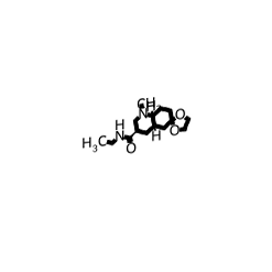 CCNC(=O)[C@@H]1C[C@@H]2CC3(CC[C@H]2N(C)C1)OCCO3